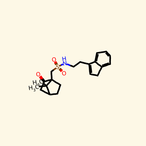 CC1(C)C2CCC1(CS(=O)(=O)NCCC1=CCc3ccccc31)C(=O)C2